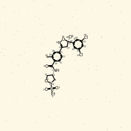 CCS(=O)(=O)N1C[C@@H](NC(=O)c2ccc(C3=NO[C@](c4cc(Cl)cc(Cl)c4)(C(F)(F)F)C3)cc2C)CO1